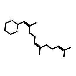 CC(C)=CCCC(C)=CCCC(C)=CC1SCCCS1